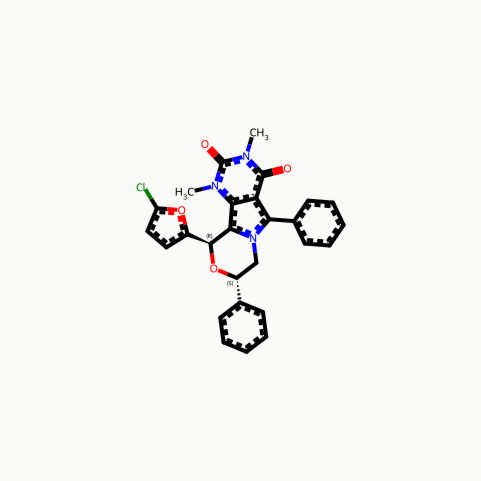 Cn1c(=O)c2c(-c3ccccc3)n3c(c2n(C)c1=O)[C@H](c1ccc(Cl)o1)O[C@@H](c1ccccc1)C3